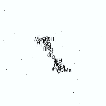 CC[C@H]1CC[C@@H](c2ncc(-c3ccc4c(c3)COc3cc5c(ccc6nc([C@@H]7CC[C@H](C)N7C(=O)[C@H](CO)NC(=O)OC)[nH]c65)cc3-4)[nH]2)N1C(=O)[C@@H](NC(=O)OC)C(C)C